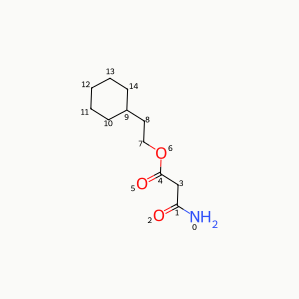 NC(=O)CC(=O)OCCC1CCCCC1